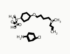 C=CCN(C)CCCCO[C@H]1CC[C@H](N(C)S(=O)(=O)O)CC1.Nc1ccc(Cl)cc1